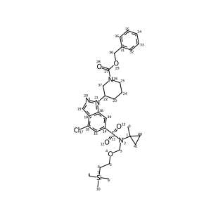 CC1(N(COCC[Si](C)(C)C)S(=O)(=O)c2cc(Cl)c3cnn(C4CCCN(C(=O)OCc5ccccc5)C4)c3c2)CC1